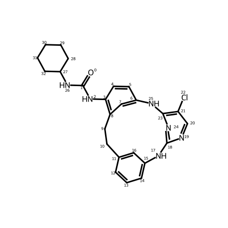 O=C(Nc1ccc2cc1CCc1cccc(c1)Nc1ncc(Cl)c(n1)N2)NC1CCCCC1